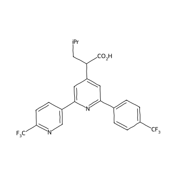 CC(C)CC(C(=O)O)c1cc(-c2ccc(C(F)(F)F)cc2)nc(-c2ccc(C(F)(F)F)nc2)c1